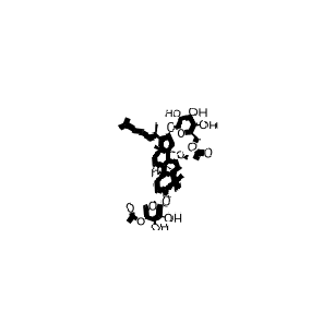 CO[C@@H]1C=C2[C@H](CCC(O[C@@H]3OC[C@@H](OC(C)=O)[C@H](O)[C@H]3O)C2(C)C)[C@@]2(C)CC[C@]3(C)[C@@H]([C@H](C)CCC=C(C)C)[C@H](O[C@@H]4O[C@H](COC(C)=O)[C@@H](O)[C@H](O)[C@H]4O)C[C@@]3(C)C12